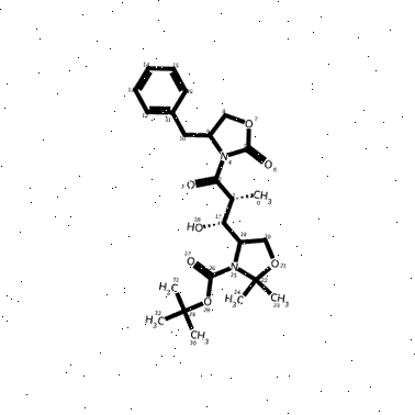 C[C@@H](C(=O)N1C(=O)OCC1Cc1ccccc1)[C@@H](O)C1COC(C)(C)N1C(=O)OC(C)(C)C